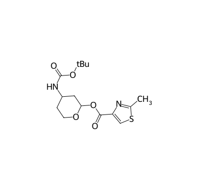 Cc1nc(C(=O)OC2CC(NC(=O)OC(C)(C)C)CCO2)cs1